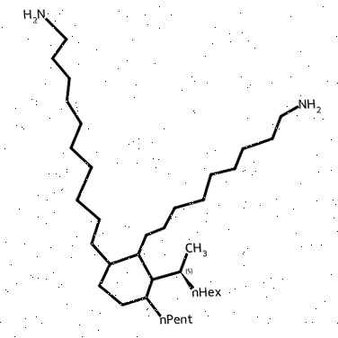 CCCCCC[C@H](C)C1C(CCCCC)CCC(CCCCCCCCCCN)C1CCCCCCCCCN